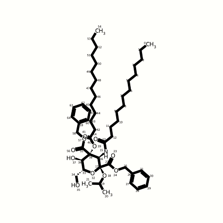 CCCCCCCCCCCCCC(=O)N[C@H]1[C@](OC(C)C)(C(=O)OCc2ccccc2)O[C@H](CO)[C@@H](O)[C@@]1(OC(=O)CCCCCCCCCCCCC)C(=O)OCc1ccccc1